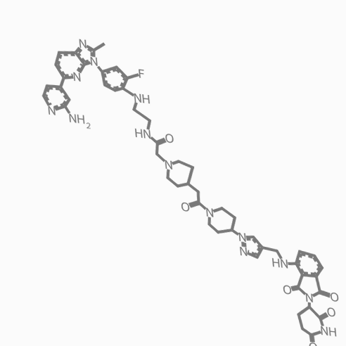 Cc1nc2ccc(-c3ccnc(N)c3)nc2n1-c1ccc(NCCNC(=O)CN2CCC(CC(=O)N3CCC(n4cc(CNc5cccc6c5C(=O)N(C5CCC(=O)NC5=O)C6=O)cn4)CC3)CC2)c(F)c1